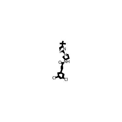 CC(C)(C)c1csc(N2CCC(NC(=O)C#Cc3cc(Cl)cc(Cl)c3)C2)n1